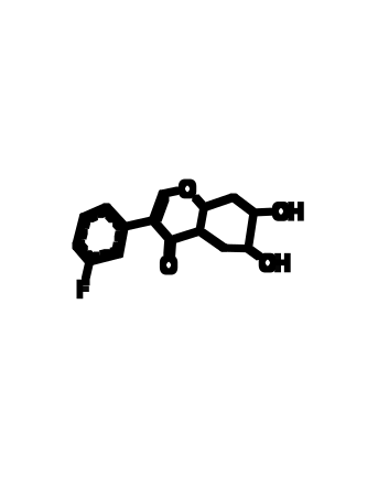 O=C1C(c2cccc(F)c2)=COC2CC(O)C(O)CC12